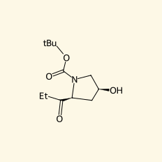 CCC(=O)[C@@H]1C[C@H](O)CN1C(=O)OC(C)(C)C